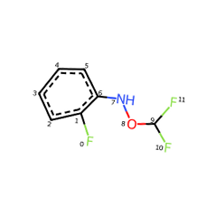 Fc1ccccc1NOC(F)F